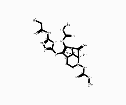 CC(C)(C)OC(=O)OC1=C(Sc2nnc(NC(=O)CBr)s2)C2CCN(OC(=O)OC(C)(C)C)[C@@H]3C(=O)N1[C@H]23